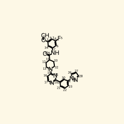 COc1cc(F)cc(NC(=O)C2CCN(c3ccnc(-c4cccc(-n5cccn5)c4)n3)CC2)c1